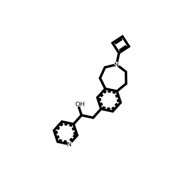 OC(Cc1ccc2c(c1)CCN(C1=CC=C1)CC2)c1cccnc1